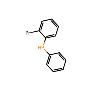 CC(C)c1ccccc1Pc1ccccc1